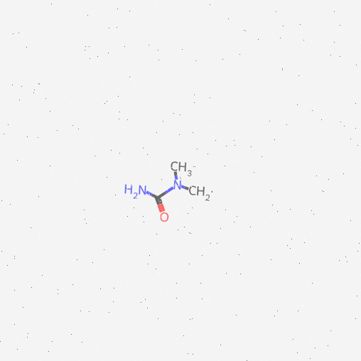 [CH2]N(C)C(N)=O